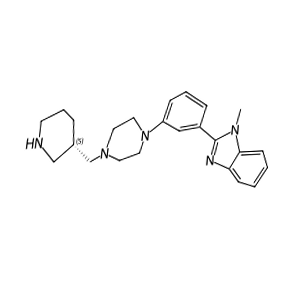 Cn1c(-c2cccc(N3CCN(C[C@H]4CCCNC4)CC3)c2)nc2ccccc21